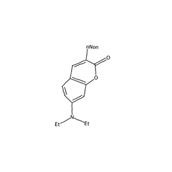 CCCCCCCCCc1cc2ccc(N(CC)CC)cc2oc1=O